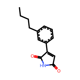 CCCCc1cccc(C2=CC(=O)NC2=O)c1